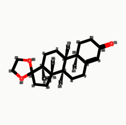 C[C@]12CC[C@H]3[C@@H](CCC4=CC(=O)CC[C@@H]43)[C@@H]1CCC21OCCO1